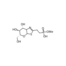 COP(=O)(O)CCC1=NC2C(O[C@H](CO)[C@@H](O)[C@@H]2O)S1